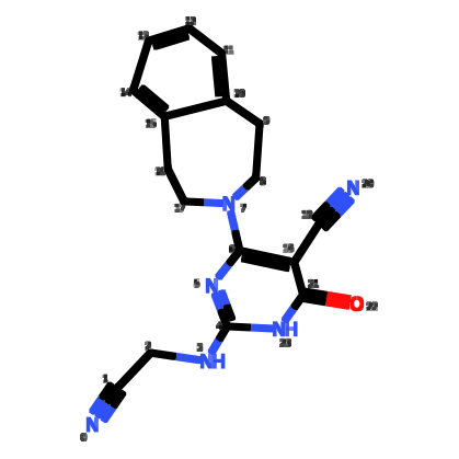 N#CCNc1nc(N2CCc3ccccc3CC2)c(C#N)c(=O)[nH]1